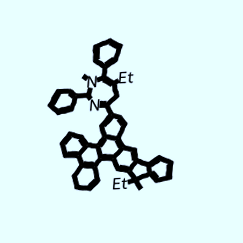 CCC1=C(c2ccccc2)N(C)C(c2ccccc2)N=C(c2ccc3c4cc5c(cc4c4c6c(c7ccccc7c4c3c2)CCC=C6)C(C)(CC)c2ccccc2-5)C1